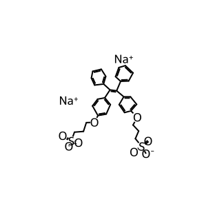 O=S(=O)([O-])CCCOc1ccc(C(=C(c2ccccc2)c2ccc(OCCCS(=O)(=O)[O-])cc2)c2ccccc2)cc1.[Na+].[Na+]